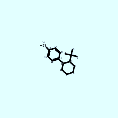 CC(C)(C)C1CCCCC1c1ccc(O)cc1